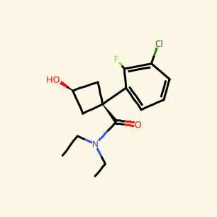 CCN(CC)C(=O)[C@]1(c2cccc(Cl)c2F)C[C@H](O)C1